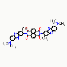 Cc1cc2nc3ccc(N(C)C)cc3nc2cc1N1C(=O)c2ccc3c4c(ccc(c24)C1=O)C(=O)N(c1cc2nc4cc(N(C)C)ccc4nc2cc1C)C3=O